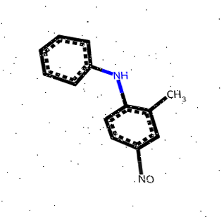 Cc1cc(N=O)ccc1Nc1ccccc1